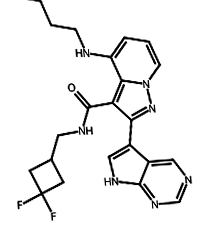 CCCCNc1cccn2nc(-c3c[nH]c4ncncc34)c(C(=O)NCC3CC(F)(F)C3)c12